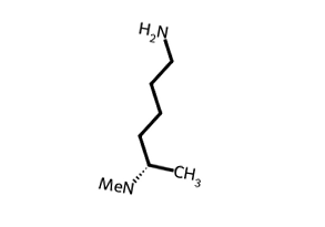 CN[C@@H](C)CCCCN